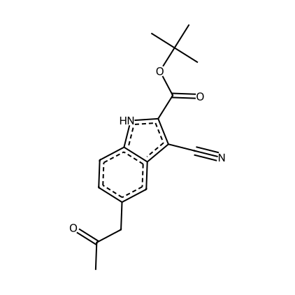 CC(=O)Cc1ccc2[nH]c(C(=O)OC(C)(C)C)c(C#N)c2c1